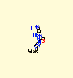 CNCc1ncc2n1CCN(c1nc(Nc3ccc4cn[nH]c4c3)nc3ccoc13)C2